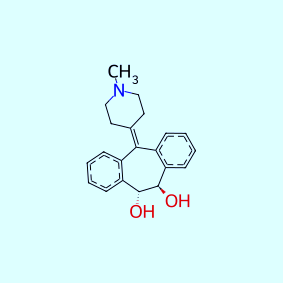 CN1CCC(=C2c3ccccc3[C@@H](O)[C@H](O)c3ccccc32)CC1